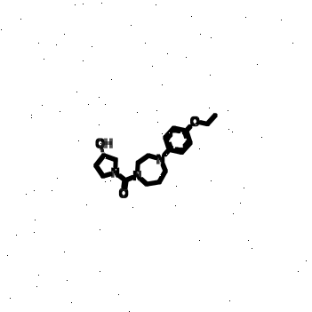 CCOc1ccc(N2CCCN(C(=O)N3CC[C@H](O)C3)CC2)cc1